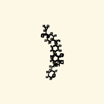 CN(c1ccc(-n2ncc(NC[C@H]3CCCOC3)c(Cl)c2=O)cc1)C1CCN(C(=O)C2CC2)CC1